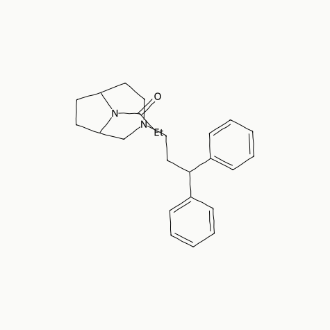 CCC(=O)N1C2CCC1CN(CCC(c1ccccc1)c1ccccc1)CC2